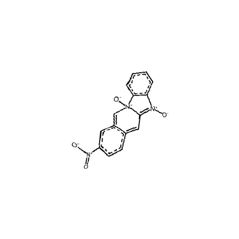 O=[N+]([O-])c1ccc2c(c1)=C[N+]1([O-])C(=[N+]([O-])c3ccccc31)C=2